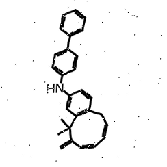 C=C1/C=C\C=C/Cc2ccc(Nc3ccc(-c4ccccc4)cc3)cc2C1(C)C